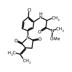 CON(C)C(=O)C(C)Nc1cc(N2C(=O)CC(=C(C)C)C2=O)ccc1Cl